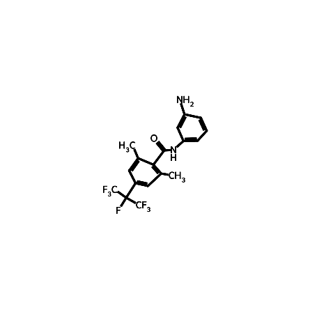 Cc1cc(C(F)(C(F)(F)F)C(F)(F)F)cc(C)c1C(=O)Nc1cccc(N)c1